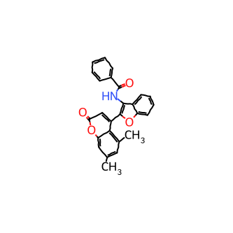 Cc1cc(C)c2c(-c3oc4ccccc4c3NC(=O)c3ccccc3)cc(=O)oc2c1